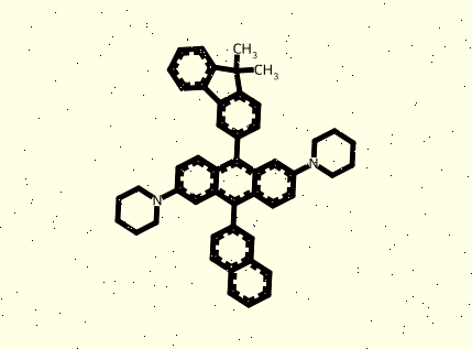 CC1(C)c2ccccc2-c2cc(-c3c4ccc(N5CCCCC5)cc4c(-c4ccc5ccccc5c4)c4ccc(N5CCCCC5)cc34)ccc21